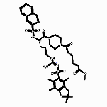 COC(=O)CCCCC(=O)N1CCN(C(=O)[C@H](CCCN/C(N)=N/S(=O)(=O)c2c(C)c(C)c3c(c2C)CC(C)(C)O3)NS(=O)(=O)c2ccc3ccccc3c2)CC1